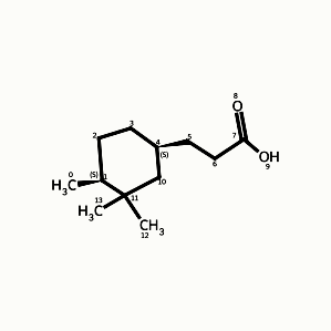 C[C@H]1CC[C@@H](CCC(=O)O)CC1(C)C